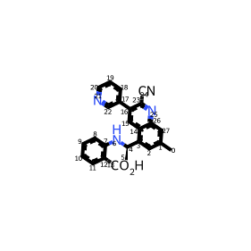 Cc1cc([C@@H](C)Nc2ccccc2C(=O)O)c2cc(-c3cccnc3)c(C#N)nc2c1